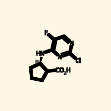 O=C(O)C1CCC[C@@H]1Nc1nc(Cl)ncc1F